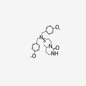 COc1ccc(CN(Cc2ccc(OC)cc2)SCCN2C(=O)NCCC2C)cc1